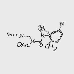 CCOC(=O)CN(C=O)C(=O)N(C)c1cc(Br)ccc1C